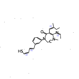 C/C=N\C1=C(/C=C(/C)CC)C(=O)N(c2cccc(/C=C/C=C\S)c2)CCN1C